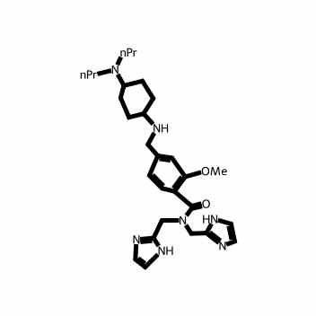 CCCN(CCC)C1CCC(NCc2ccc(C(=O)N(Cc3ncc[nH]3)Cc3ncc[nH]3)c(OC)c2)CC1